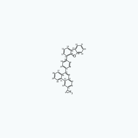 Cc1ccc2cc(-c3ccc(-c4cccc5c4oc4ccccc45)cc3)c3ccccc3c2c1